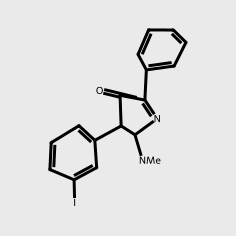 CNC1N=C(c2ccccc2)C(=O)C1c1cccc(I)c1